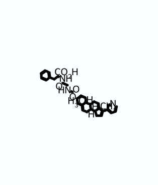 C[C@]12CC[C@H](OC(=O)NCC(=O)N[C@@H](Cc3ccccc3)C(=O)O)CC1=CC[C@@H]1[C@@H]2CC[C@]2(C)C(c3cccnc3)=CC[C@@H]12